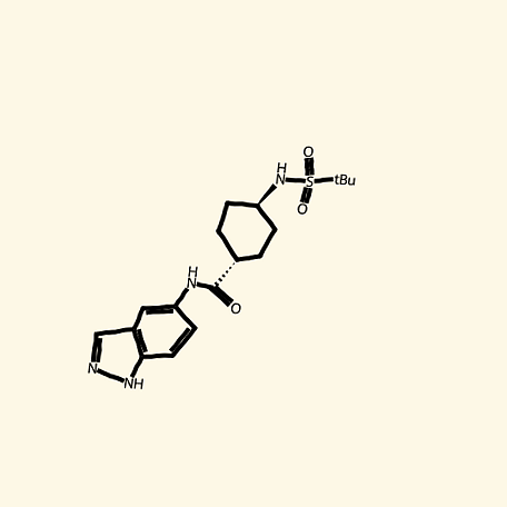 CC(C)(C)S(=O)(=O)N[C@H]1CC[C@H](C(=O)Nc2ccc3[nH]ncc3c2)CC1